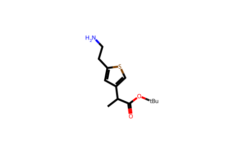 CC(C(=O)OC(C)(C)C)c1csc(CCN)c1